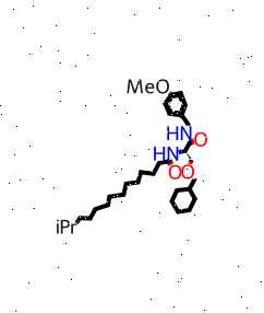 COc1ccc(CNC(=O)[C@H](COCC2CCCCC2)NC(=O)CCCCCCCCCCCC(C)C)cc1